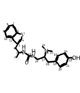 CC(Cc1csc2ccccc12)NC(=O)NCC(Cc1ccc(O)cc1)N(C)C